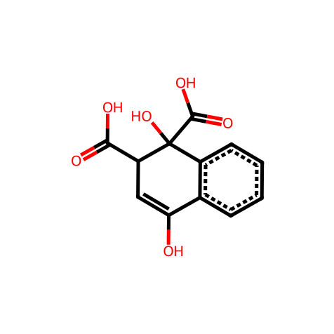 O=C(O)C1C=C(O)c2ccccc2C1(O)C(=O)O